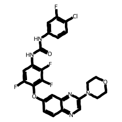 O=C(Nc1ccc(Cl)c(F)c1)Nc1cc(F)c(Oc2ccc3ncc(N4CCOCC4)nc3c2)c(F)c1F